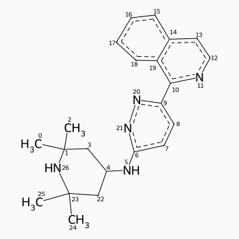 CC1(C)CC(Nc2ccc(-c3nccc4ccccc34)nn2)CC(C)(C)N1